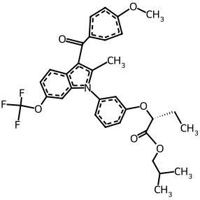 CC[C@@H](Oc1cccc(-n2c(C)c(C(=O)c3ccc(OC)cc3)c3ccc(OC(F)(F)F)cc32)c1)C(=O)OCC(C)C